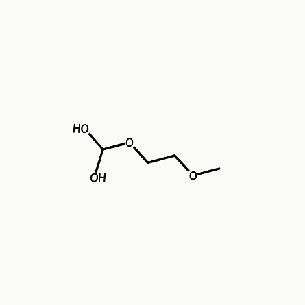 COCCOC(O)O